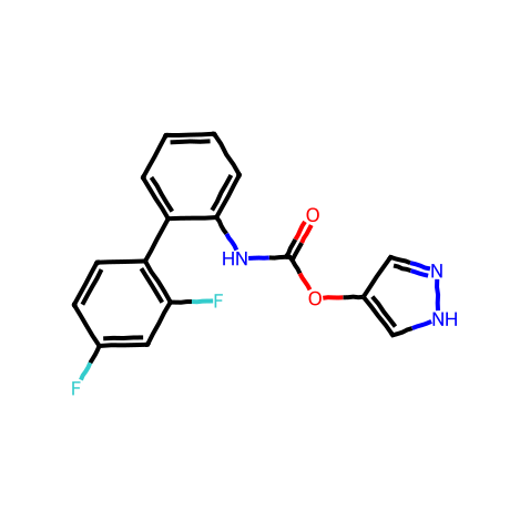 O=C(Nc1ccccc1-c1ccc(F)cc1F)Oc1cn[nH]c1